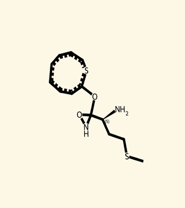 CSCC[C@H](N)C1(Oc2cccccccs2)NO1